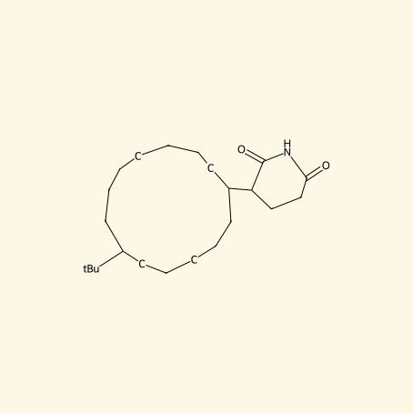 CC(C)(C)C1CCCCCCCC(C2CCC(=O)NC2=O)CCCCC1